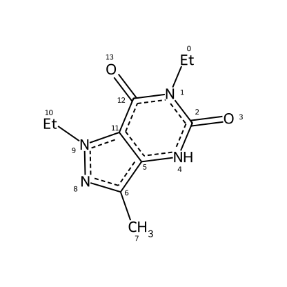 CCn1c(=O)[nH]c2c(C)nn(CC)c2c1=O